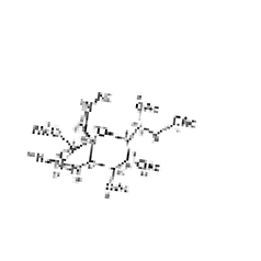 COC(=O)[C@]1(N=[N+]=[N-])OC([C@@H](COC(C)=O)OC(C)=O)[C@H](OC(C)=O)C(OC(C)=O)C1N=[N+]=[N-]